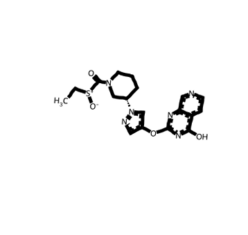 CC[S+]([O-])C(=O)N1CCC[C@H](n2cc(Oc3nc(O)c4ccncc4n3)cn2)C1